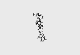 C[C@H](CC(=O)N1CCC(O)(Cn2cnc(N3CCC[C@H](N)C3)cc2=O)CC1)c1ccccc1